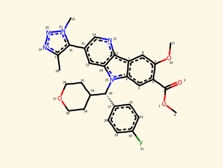 COC(=O)c1cc2c(cc1OC)c1ncc(-c3c(C)nnn3C)cc1n2[C@H](c1ccc(F)cc1)C1CCOCC1